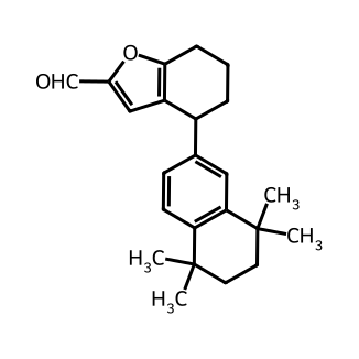 CC1(C)CCC(C)(C)c2cc(C3CCCc4oc(C=O)cc43)ccc21